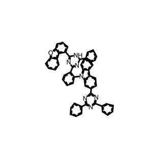 c1ccc(-c2nc(-c3ccccc3)nc(-c3ccc4c5ccccc5n(-c5ccccc5C5=NC(c6ccccc6)NC(c6cccc7oc8ccccc8c67)=N5)c4c3)n2)cc1